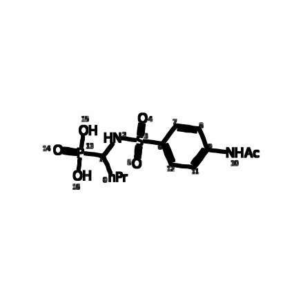 CCCC(NS(=O)(=O)c1ccc(NC(C)=O)cc1)P(=O)(O)O